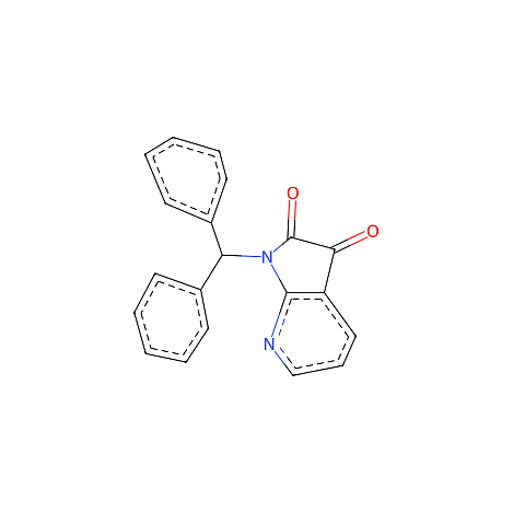 O=C1C(=O)N(C(c2ccccc2)c2ccccc2)c2ncccc21